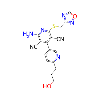 N#Cc1c(N)nc(SCc2ncon2)c(C#N)c1-c1ccc(CCCO)nc1